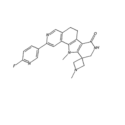 CN1CC2(CNC(=O)c3c4c(n(C)c32)-c2cc(-c3ccc(F)nc3)ncc2CC4)C1